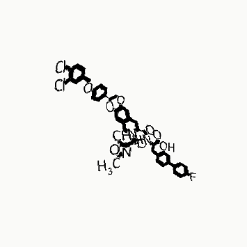 Cc1nc(C(=O)N2Cc3cc4c(cc3C[C@H]2C(=O)NC(Cc2ccc(-c3ccc(F)cc3)cc2)C(=O)O)OC[C@H](c2ccc(OCc3ccc(Cl)c(Cl)c3)cc2)O4)c(C)o1